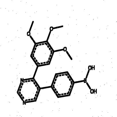 COc1cc(-c2ncncc2-c2ccc(B(O)O)cc2)cc(OC)c1OC